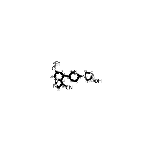 CCOc1cc(-c2ccc(N3CS[C@H](O)C3)nc2)c2c(C#N)cnn2c1